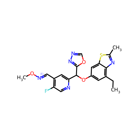 CCc1cc(OC(c2cc(/C=N/OC)c(F)cn2)c2nnco2)cc2sc(C)nc12